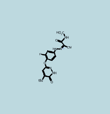 CC(C)(C)c1cc(Oc2ccc(N/N=C(/C#N)C(=O)NC(=O)O)cc2F)n[nH]c1=O